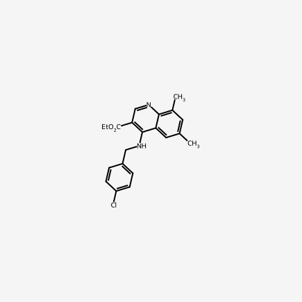 CCOC(=O)c1cnc2c(C)cc(C)cc2c1NCc1ccc(Cl)cc1